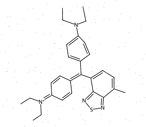 CCN(CC)c1ccc(C(=C2C=CC(=[N+](CC)CC)C=C2)c2ccc(C)c3nsnc23)cc1